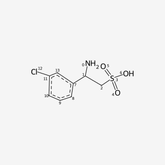 NC(CS(=O)(=O)O)c1cccc(Cl)c1